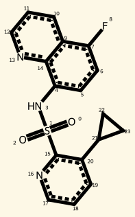 O=S(=O)(Nc1ccc(F)c2cccnc12)c1ncccc1C1CC1